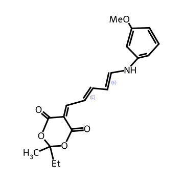 CCC1(C)OC(=O)C(=C/C=C/C=C/Nc2cccc(OC)c2)C(=O)O1